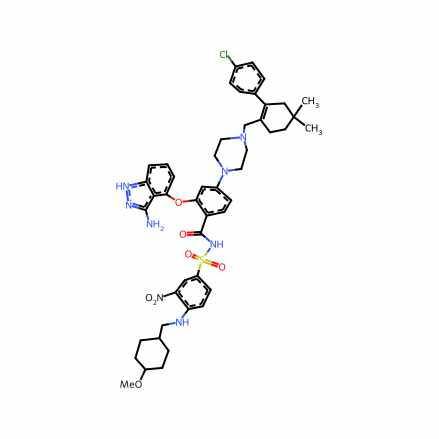 COC1CCC(CNc2ccc(S(=O)(=O)NC(=O)c3ccc(N4CCN(CC5=C(c6ccc(Cl)cc6)CC(C)(C)CC5)CC4)cc3Oc3cccc4[nH]nc(N)c34)cc2[N+](=O)[O-])CC1